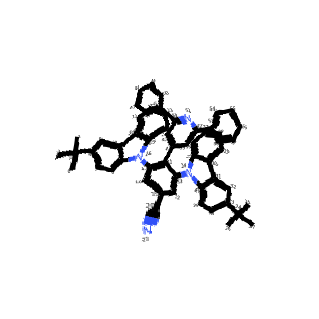 CC(C)(C)c1ccc2c(c1)c1ccccc1n2-c1cc(C#N)cc(-n2c3ccccc3c3cc(C(C)(C)C)ccc32)c1-c1cc(-c2ccccc2)nc(-c2ccccc2)c1